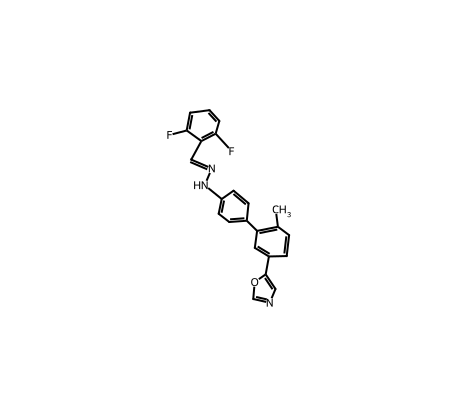 Cc1ccc(-c2cnco2)cc1-c1ccc(N/N=C/c2c(F)cccc2F)cc1